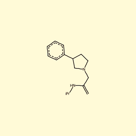 C=C(CN1CCC(c2ccccc2)C1)NC(C)C